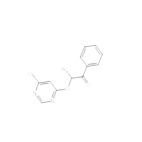 O=C(c1ccccc1)C(Br)Oc1cc(Cl)ncn1